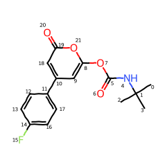 CC(C)(C)NC(=O)Oc1cc(-c2ccc(F)cc2)cc(=O)o1